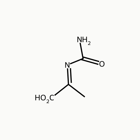 CC(=NC(N)=O)C(=O)O